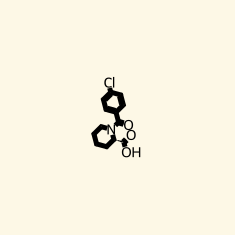 O=C(O)[C@@H]1CCCCN1C(=O)c1ccc(Cl)cc1